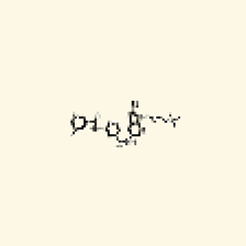 CCc1nc2cc(N[C@@H](C)c3cccc(NC(=O)c4cncc(C)c4)c3)cnc2n1COCC[Si](C)(C)C